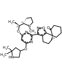 C[C@H](Oc1cc(OC2CNC(C)(C)C2)nc(-c2noc3c2CCC[C@@]32CCCCC2=O)n1)[C@@H]1CCCN1C